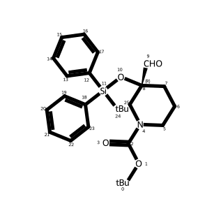 CC(C)(C)OC(=O)N1CCC[C@@](C=O)(O[Si](c2ccccc2)(c2ccccc2)C(C)(C)C)C1